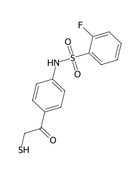 O=C(CS)c1ccc(NS(=O)(=O)c2ccccc2F)cc1